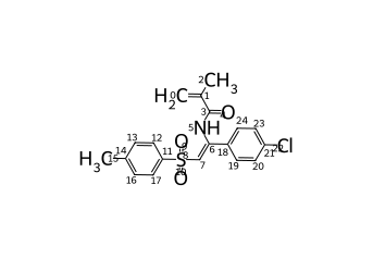 C=C(C)C(=O)N/C(=C\S(=O)(=O)c1ccc(C)cc1)c1ccc(Cl)cc1